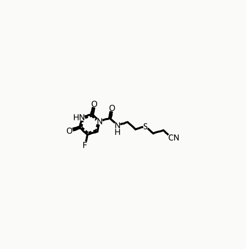 N#CCCSCCNC(=O)n1cc(F)c(=O)[nH]c1=O